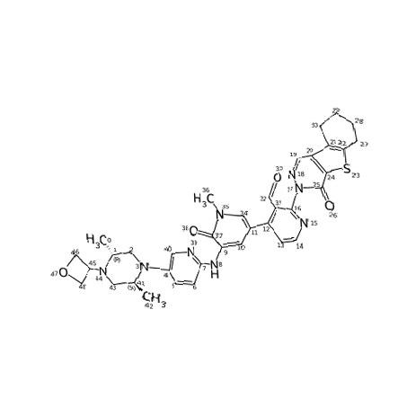 C[C@@H]1CN(c2ccc(Nc3cc(-c4ccnc(-n5ncc6c7c(sc6c5=O)CCCC7)c4C=O)cn(C)c3=O)nc2)[C@@H](C)CN1C1COC1